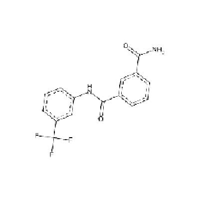 NC(=O)c1cccc(C(=O)Nc2cccc(C(F)(F)F)c2)c1